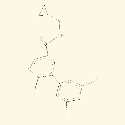 C[C@H](NC(=O)c1cnc(C(F)(F)F)c(-c2cc(F)cc(F)c2)c1)C1CC1